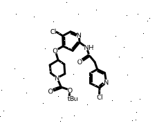 CC(C)(C)OC(=O)N1CCC(Oc2cc(NC(=O)Cc3ccc(Cl)nc3)ncc2Cl)CC1